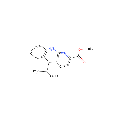 CCCCOC(=O)c1ccc(C(c2ccccc2)C(C(=O)O)C(=O)OCC)c(N)n1